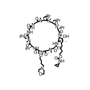 CC[C@@H]1NC(=O)[C@H]([C@H](O)[C@H](C)CCCCCOC(=O)NC2CC2)N(C)C(=O)[C@H](C(C)C)N(C)C(=O)[C@H](CC(C)C)N(C)C(=O)[C@H](CC(C)C)N(C)C(=O)[C@@H](C)NC(=O)[C@H](C)NC(=O)[C@H](CC(C)C)N(C)C(=O)[C@H](C(C)C)NC(=O)[C@H]([C@@H](C)OCCCCN2CCOCC2)N(C)C(=O)[C@@H](C)N(C)C1=O